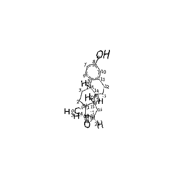 C[C@]12CC[C@@H]3c4ccc(O)cc4CC[C@H]3[C@@H]1C[C@H]1O[C@H]12